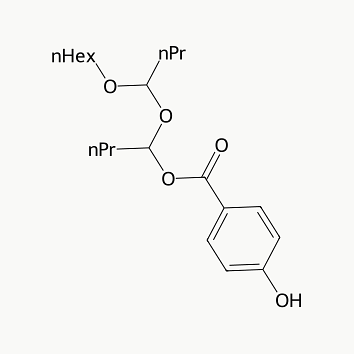 CCCCCCOC(CCC)OC(CCC)OC(=O)c1ccc(O)cc1